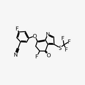 N#Cc1cc(F)cc(OC2=C3N=CC(SC(F)(F)F)=C3C(=O)C(F)C2)c1